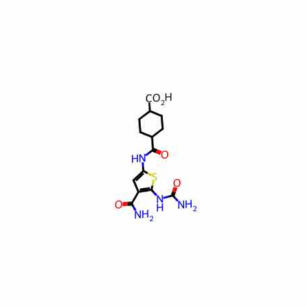 NC(=O)Nc1sc(NC(=O)C2CCC(C(=O)O)CC2)cc1C(N)=O